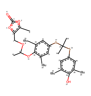 Cc1oc(=O)oc1COC(C)Oc1c(C(C)(C)C)cc(SC(C)(C)Sc2cc(C(C)(C)C)c(O)c(C(C)(C)C)c2)cc1C(C)(C)C